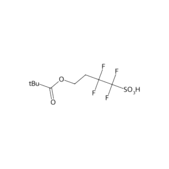 CC(C)(C)C(=O)OCCC(F)(F)C(F)(F)S(=O)(=O)O